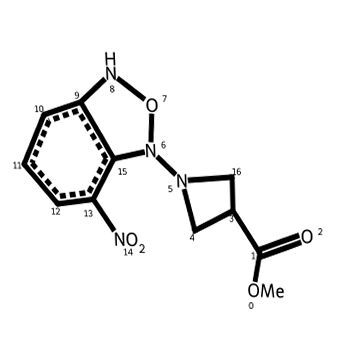 COC(=O)C1CN(N2ONc3cccc([N+](=O)[O-])c32)C1